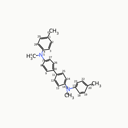 Cc1ccc(N(C)c2ccc(-c3ccc(N(C)c4ccc(C)cc4)cc3)cc2)cc1